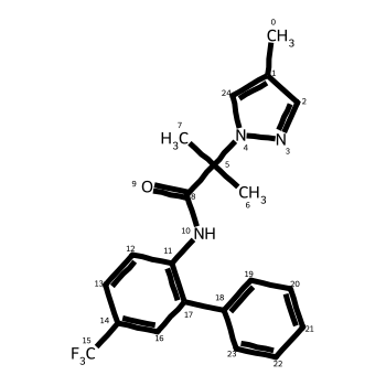 Cc1cnn(C(C)(C)C(=O)Nc2ccc(C(F)(F)F)cc2-c2ccccc2)c1